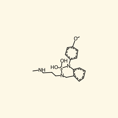 CNCCCN1Cc2ccccc2N(c2ccc(OC)cc2)S1(O)O